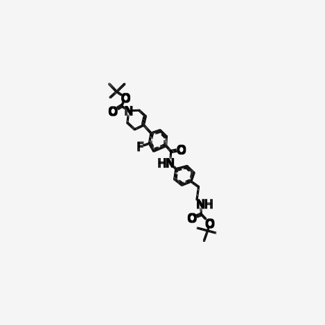 CC(C)(C)OC(=O)NCCc1ccc(NC(=O)c2ccc(C3=CCN(C(=O)OC(C)(C)C)CC3)c(F)c2)cc1